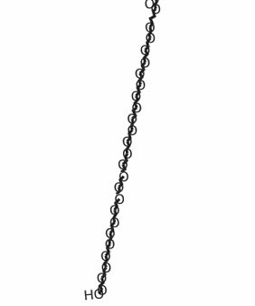 C=CC(=O)OCCCCOCCOCCOCCOCCOCCOCCOCCOCCOCCOCCOCCOCCOCCOCCOCCOCCOCCOCCOCCOCCOCCOCCOCCOO